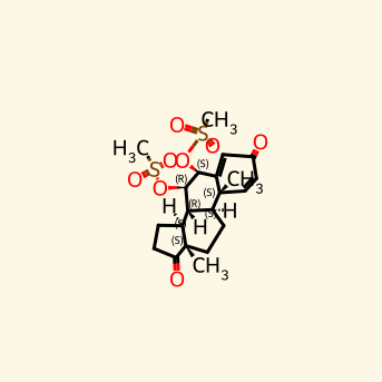 C[C@]12C=CC(=O)C=C1[C@H](OS(C)(=O)=O)[C@H](OS(C)(=O)=O)[C@@H]1[C@@H]2CC[C@]2(C)C(=O)CC[C@@H]12